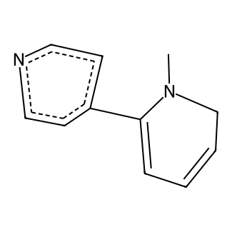 CN1CC=CC=C1c1ccncc1